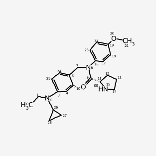 CCN(c1ccc(CN(C(=O)[C@@H]2CCCN2)c2ccc(OC)cc2)cc1)C1CC1